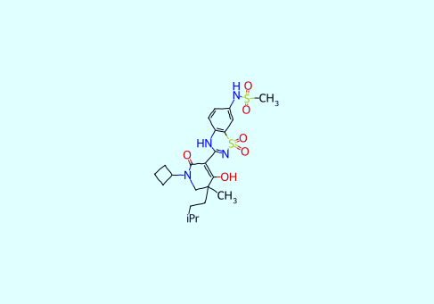 CC(C)CCC1(C)CN(C2CCC2)C(=O)C(C2=NS(=O)(=O)c3cc(NS(C)(=O)=O)ccc3N2)=C1O